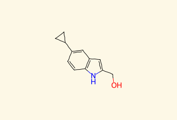 OCc1cc2cc(C3CC3)ccc2[nH]1